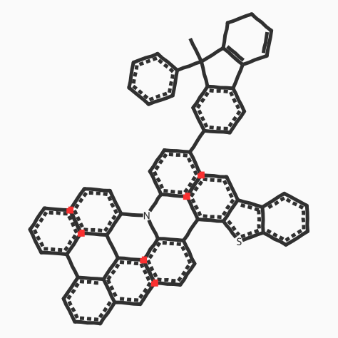 CC1(c2ccccc2)C2=C(C=CCC2)c2ccc(-c3ccc(N(c4ccccc4-c4cccc5c4sc4ccccc45)c4ccccc4-c4cccc5cccc(-c6ccccc6)c45)cc3)cc21